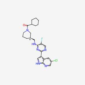 O=C(C1CCCCC1)N1CCC[C@H](CNc2nc(-c3c[nH]c4ncc(Cl)cc34)ncc2F)C1